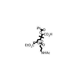 CCOC(=O)OCCC(OS(=O)(=O)CCCNC(C)=O)C(C)(C)[C@@H](OC(=O)C(C)C)C(=O)O